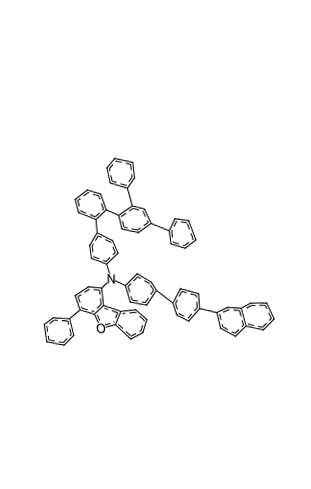 c1ccc(-c2ccc(-c3ccccc3-c3ccc(N(c4ccc(-c5ccc(-c6ccc7ccccc7c6)cc5)cc4)c4ccc(-c5ccccc5)c5oc6ccccc6c45)cc3)c(-c3ccccc3)c2)cc1